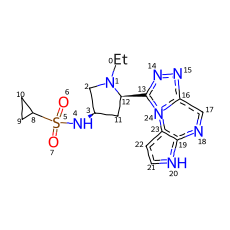 CCN1C[C@H](NS(=O)(=O)C2CC2)C[C@@H]1c1nnc2cnc3[nH]ccc3n12